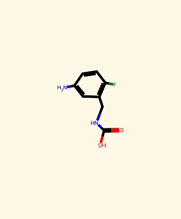 Nc1ccc(F)c(CNC(=O)O)c1